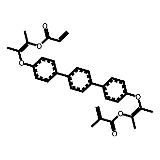 C=CC(=O)OC(C)=C(C)Oc1ccc(-c2ccc(-c3ccc(OC(C)=C(C)OC(=O)C(=C)C)cc3)cc2)cc1